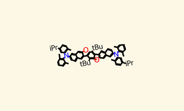 Cc1ccc(C(C)C)cc1N(c1ccc2cc3c(cc2c1)oc1c(C(C)(C)C)c2c(oc4cc5cc(N(c6cc(C(C)C)ccc6C)c6c(C)cccc6C)ccc5cc42)c(C(C)(C)C)c13)c1c(C)cccc1C